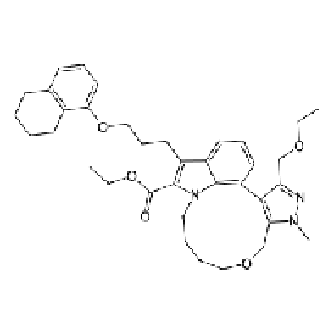 CCOCc1nn(C)c2c1-c1cccc3c(CCCOc4cccc5c4CCCC5)c(C(=O)OCC)n(c13)CCCCOC2